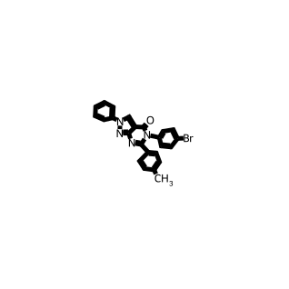 Cc1ccc(-c2nc3nn(-c4ccccc4)cc3c(=O)n2-c2ccc(Br)cc2)cc1